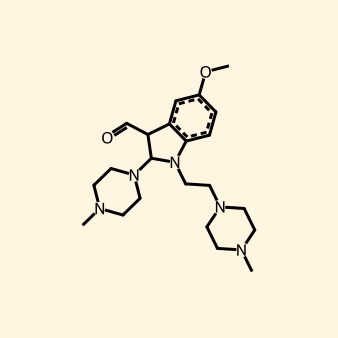 COc1ccc2c(c1)C(C=O)C(N1CCN(C)CC1)N2CCN1CCN(C)CC1